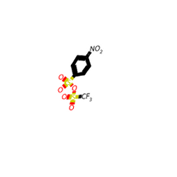 O=[N+]([O-])c1ccc(S(=O)(=O)OS(=O)(=O)C(F)(F)F)cc1